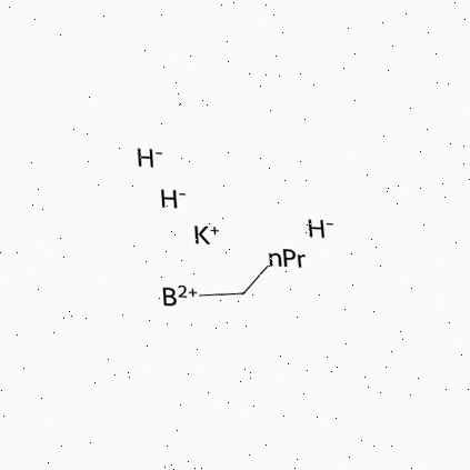 [B+2]CCCC.[H-].[H-].[H-].[K+]